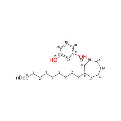 CCCCCCCCCCCCCCCCCCC1CCCCCC1.Oc1cccc(O)c1